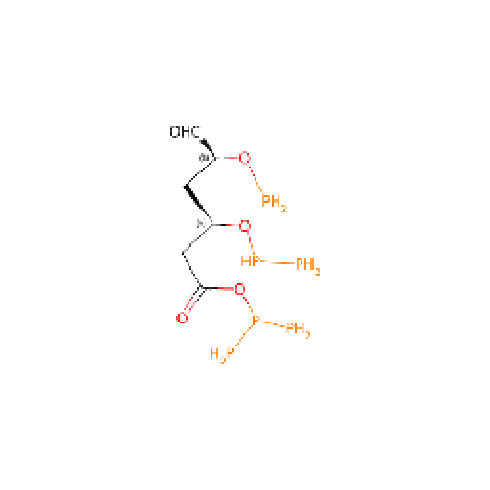 O=C[C@H](C[C@H](CC(=O)OP(P)P)OPP)OP